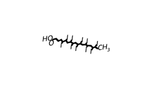 CCC(I)C(I)CC(I)C(I)CC(I)C(I)CC(I)C(I)CC(I)C(I)CCCC(=O)O